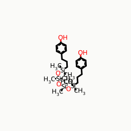 C[Si](C)(CCCc1ccc(O)cc1)O[Si](C)(C)O[Si](C)(C)O[Si](C)(C)CCCc1ccc(O)cc1